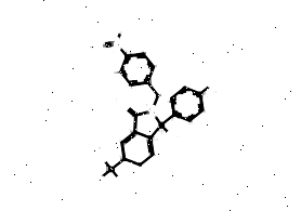 CC(C)(C)C1C=C2C(=O)N(Cc3ccc([N+](=O)[O-])cc3)C(O)(c3ccc(Cl)cc3)C2=CC1